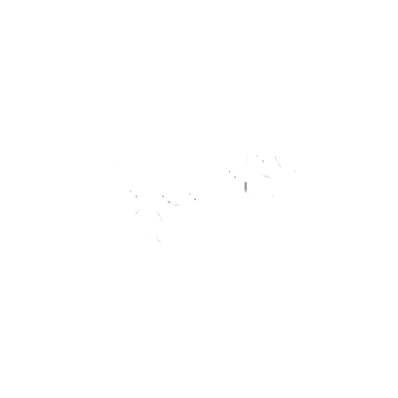 CCOC(=O)c1sc(N2CC[C@@H](NC(=O)c3[nH]c(C)c(Cl)c3Cl)[C@@H](OC)C2)nc1C(=O)NCC1OCCO1